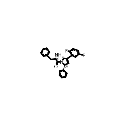 N[C@@H](Cc1ccccc1)C(=O)N1CC(c2cc(F)ccc2F)=C[C@H]1c1ccccc1